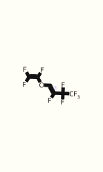 FC(F)=C(F)O/[C]=C(\F)C(F)(F)C(F)(F)F